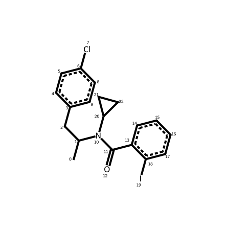 CC(Cc1ccc(Cl)cc1)N(C(=O)c1ccccc1I)C1CC1